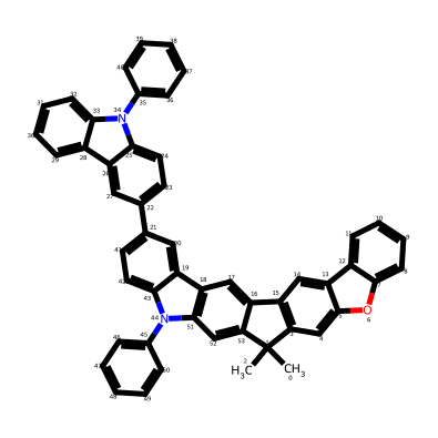 CC1(C)c2cc3oc4ccccc4c3cc2-c2cc3c4cc(-c5ccc6c(c5)c5ccccc5n6-c5ccccc5)ccc4n(-c4ccccc4)c3cc21